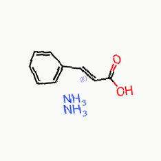 N.N.O=C(O)/C=C/c1ccccc1